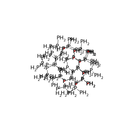 PP(P)P(P(P)P)P(P(P)P)P(P(P(P)P)P(P)P)P(P(P(P(P(P)P)P(P)P)P(P(P)P)P(P)P)P(P(P(P)P)P(P)P)P(P(P)P)P(P)P)P(P(P(P(P)P)P(P)P)P(P(P)P)P(P)P)P(P(P(P)P)P(P)P)P(P(P)P)P(P)P